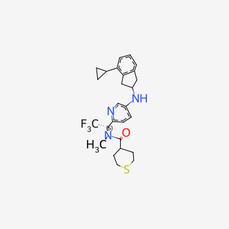 CN(C(=O)C1CCSCC1)[C@@H](c1ccc(NC2Cc3cccc(C4CC4)c3C2)cn1)C(F)(F)F